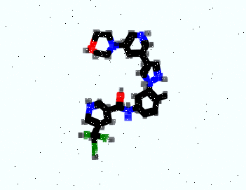 Cc1ccc(NC(=O)c2cncc(C(F)(F)F)c2)cc1-n1cc(-c2cncc(N3CCOCC3)c2)cn1